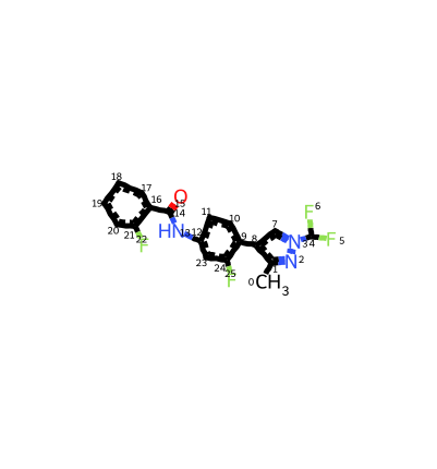 Cc1nn(C(F)F)cc1-c1ccc(NC(=O)c2ccccc2F)cc1F